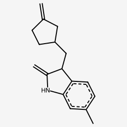 C=C1CCC(CC2C(=C)Nc3cc(C)ccc32)C1